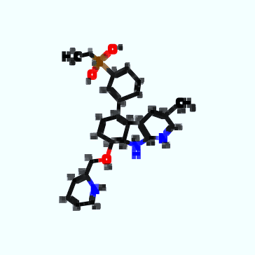 CCS(=O)(=O)c1cccc(-c2ccc(OCc3ccccn3)c3[nH]c4ncc(C)cc4c23)c1